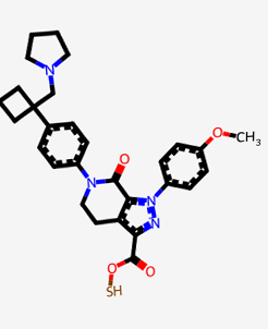 COc1ccc(-n2nc(C(=O)OS)c3c2C(=O)N(c2ccc(C4(CN5CCCC5)CCC4)cc2)CC3)cc1